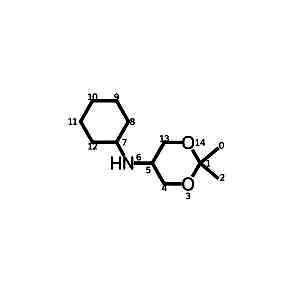 CC1(C)OCC(NC2CCCCC2)CO1